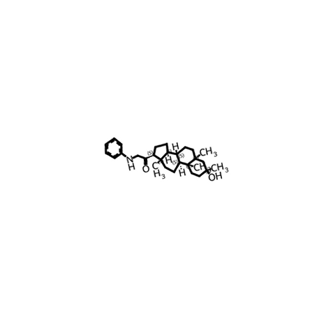 C[C@@]1(O)CC[C@]2(C)[C@H]3CC[C@]4(C)[C@@H](C(=O)CNc5ccccc5)CC[C@H]4[C@@H]3CC[C@]2(C)C1